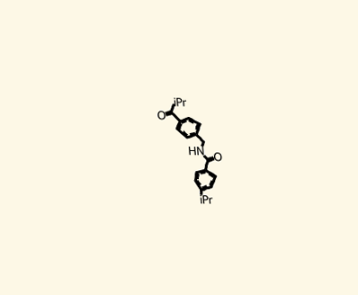 CC(C)C(=O)c1ccc(CNC(=O)c2ccc(C(C)C)cc2)cc1